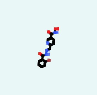 O=C(NO)c1ccc(/C=N/NC(=O)c2ccccc2Br)nc1